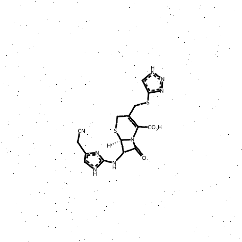 N#CCc1c[nH]c(NC2C(=O)N3C(C(=O)O)=C(CSc4c[nH]nn4)CS[C@H]23)n1